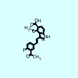 COc1c(C(=O)O)ccc2[nH]nc(C=Cc3ccc(F)c(C(C)=O)c3)c12